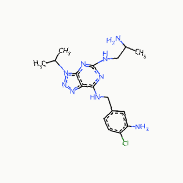 CC(N)CNc1nc(NCc2ccc(Cl)c(N)c2)c2nnn(C(C)C)c2n1